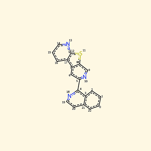 c1ccc2c(-c3cc4c(cn3)sc3ncccc34)nccc2c1